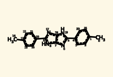 Cc1ccc(-c2nc3[nH]c(-c4ccc(C)cc4)nc3[nH]2)cc1